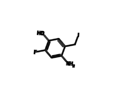 Nc1cc(F)c(O)cc1CI